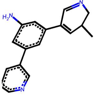 CC1C=C(c2cc(N)cc(-c3cccnc3)c2)C=NC1